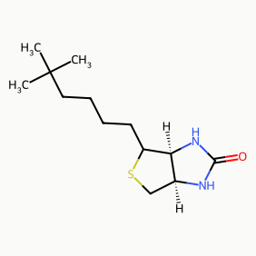 CC(C)(C)CCCCC1SC[C@@H]2NC(=O)N[C@H]12